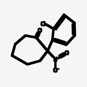 O=C1CCCCCC1(c1ccccc1Cl)[N+](=O)[O-]